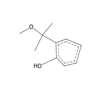 COC(C)(C)c1ccccc1O